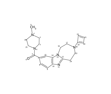 CN1CCN(C(=O)c2ccc3nc4n(c3c2)CCN(C2=CC=C2)CC4)CC1